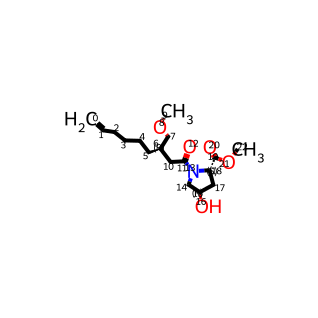 C=CCCCC[C@@H](COC)CC(=O)N1C[C@H](O)C[C@H]1C(=O)OC